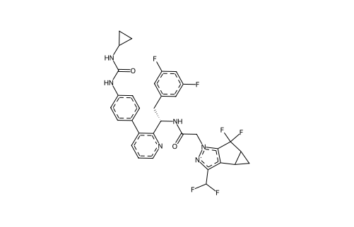 O=C(Cn1nc(C(F)F)c2c1C(F)(F)C1CC21)N[C@@H](Cc1cc(F)cc(F)c1)c1ncccc1-c1ccc(NC(=O)NC2CC2)cc1